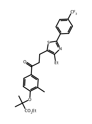 CCOC(=O)C(C)(C)Oc1ccc(C(=O)CCc2sc(-c3ccc(C(F)(F)F)cc3)nc2CC)cc1C